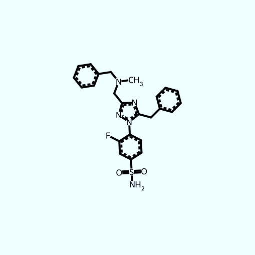 CN(Cc1ccccc1)Cc1nc(Cc2ccccc2)n(-c2ccc(S(N)(=O)=O)cc2F)n1